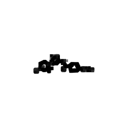 COc1ccc(C(=O)[N-]c2c[n+](N3CC[S+]([O-])CC3(C)C)no2)cc1